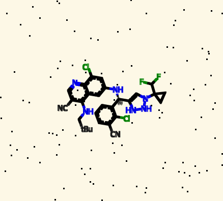 CC(C)(C)CNc1c(C#N)cnc2c(Cl)cc(N[C@H](C3=CN(C4(C(F)F)CC4)NN3)c3cccc(C#N)c3Cl)cc12